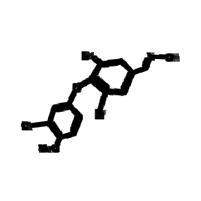 CCc1cc(Oc2c(Br)cc(/C=N/O)cc2Br)ccc1OC